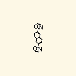 c1coc(-c2ccc3cc(-c4ncco4)ccc3c2)n1